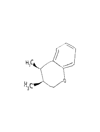 C[C@@H]1COc2ccccc2[C@@H]1C